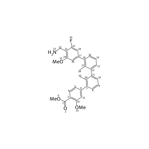 COC(=O)c1ccc(-c2cccc(-c3cccc(-c4cc(F)c(CN)c(OC)c4)c3C)c2C)cc1OC